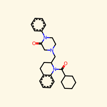 O=C1CN(CC2CCc3ccccc3N2C(=O)C2CCCCC2)CCN1c1ccccc1